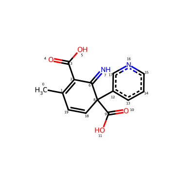 CC1=C(C(=O)O)C(=N)C(C(=O)O)(c2cccnc2)C=C1